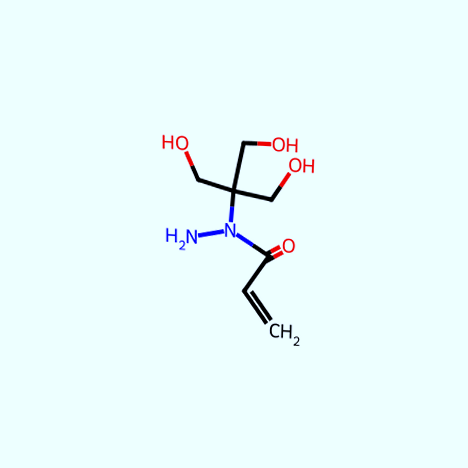 C=CC(=O)N(N)C(CO)(CO)CO